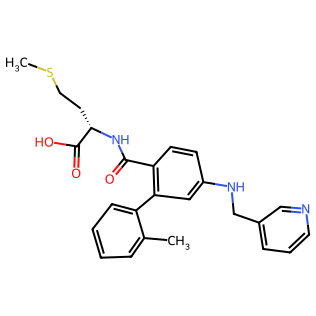 CSCC[C@H](NC(=O)c1ccc(NCc2cccnc2)cc1-c1ccccc1C)C(=O)O